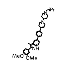 COc1ccc(-c2[nH]c3ccc(-c4ccc(C5=CCN(C6CCN(CC(C)C)CC6)CC5)cc4)cc3c2C)cc1OC